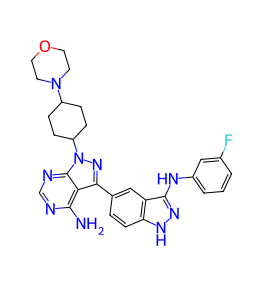 Nc1ncnc2c1c(-c1ccc3[nH]nc(Nc4cccc(F)c4)c3c1)nn2C1CCC(N2CCOCC2)CC1